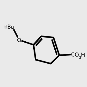 CCCCOC1=CC=C(C(=O)O)CC1